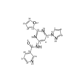 O=C(Nc1cc(-n2cccn2)nc(-c2ccco2)n1)c1cccnc1